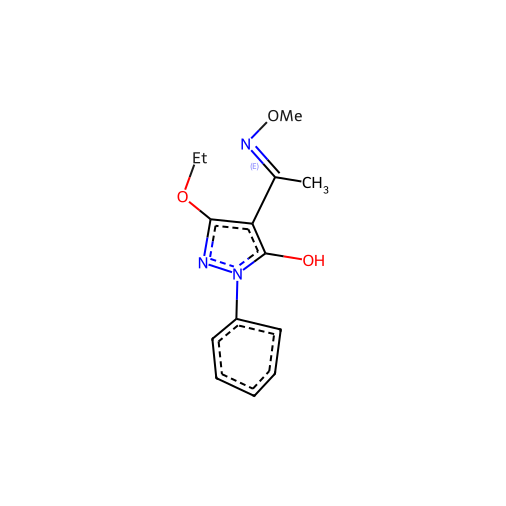 CCOc1nn(-c2ccccc2)c(O)c1/C(C)=N/OC